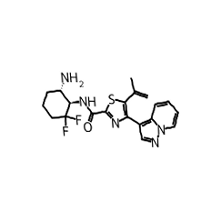 C=C(C)c1sc(C(=O)N[C@@H]2[C@@H](N)CCCC2(F)F)nc1-c1cnn2ccccc12